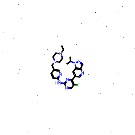 CCN1CCN(Cc2ccc(Nc3ncc(F)c(-c4cnc5cnn(C(C)C)c5c4)n3)nc2)CC1